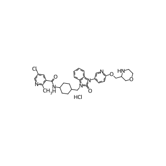 Cc1ncc(Cl)cc1C(=O)NC1CCC(Cn2c(=O)n(-c3ccc(OCC4COCCN4)nc3)c3ccccc32)CC1.Cl